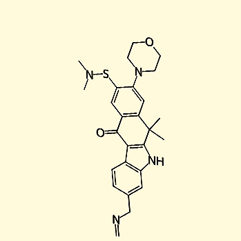 C=NCc1ccc2c3c([nH]c2c1)C(C)(C)c1cc(N2CCOCC2)c(SN(C)C)cc1C3=O